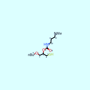 CCCCOCC(CS)OC(=O)NCCCNC